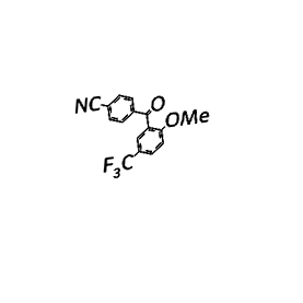 COc1ccc(C(F)(F)F)cc1C(=O)c1ccc(C#N)cc1